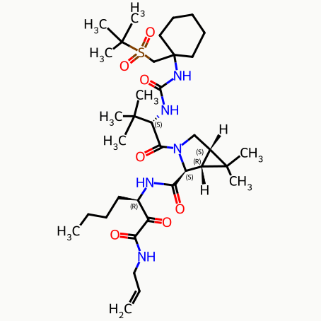 C=CCNC(=O)C(=O)[C@@H](CCCC)NC(=O)[C@@H]1[C@@H]2[C@H](CN1C(=O)[C@@H](NC(=O)NC1(CS(=O)(=O)C(C)(C)C)CCCCC1)C(C)(C)C)C2(C)C